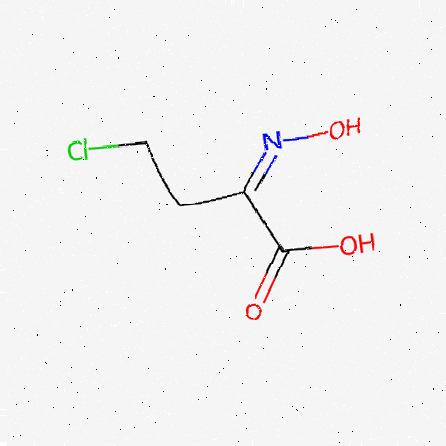 O=C(O)C(CCCl)=NO